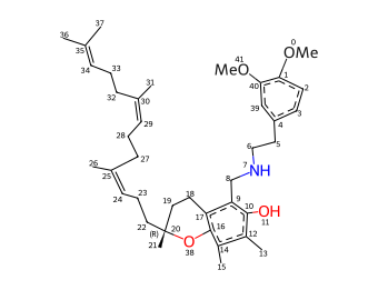 COc1ccc(CCNCc2c(O)c(C)c(C)c3c2CC[C@@](C)(CCC=C(C)CCC=C(C)CCC=C(C)C)O3)cc1OC